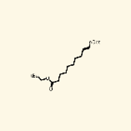 CCCCCCCCC=CCCCCCCCC(=O)OCC(C)(C)C